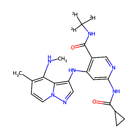 [2H]C([2H])([2H])NC(=O)c1cnc(NC(=O)C2CC2)cc1Nc1cnn2ccc(C)c(NC)c12